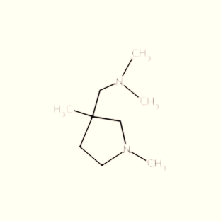 CN(C)CC1(C)CCN(C)C1